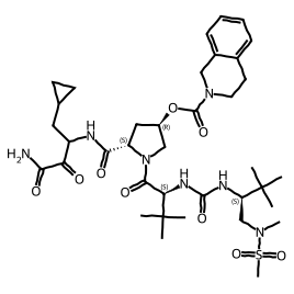 CN(C[C@@H](NC(=O)N[C@H](C(=O)N1C[C@H](OC(=O)N2CCc3ccccc3C2)C[C@H]1C(=O)NC(CC1CC1)C(=O)C(N)=O)C(C)(C)C)C(C)(C)C)S(C)(=O)=O